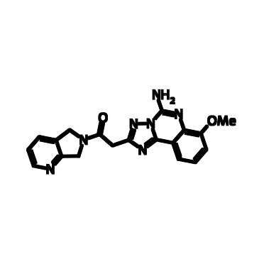 COc1cccc2c1nc(N)n1nc(CC(=O)N3Cc4cccnc4C3)nc21